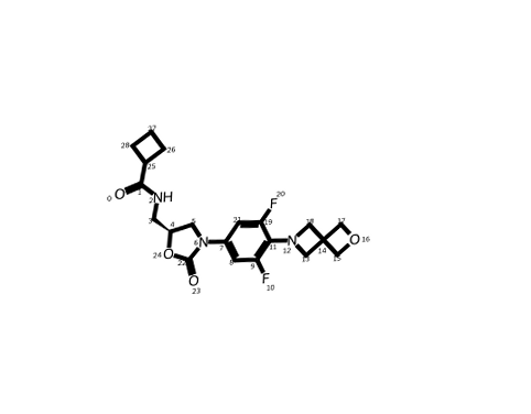 O=C(NC[C@H]1CN(c2cc(F)c(N3CC4(COC4)C3)c(F)c2)C(=O)O1)C1CCC1